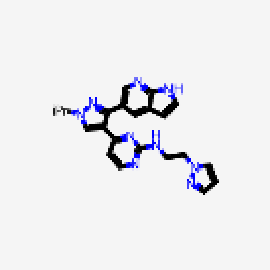 CC(C)n1cc(-c2ccnc(NCCn3cccn3)n2)c(-c2cnc3[nH]ccc3c2)n1